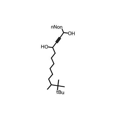 CCCCCCCCCC(O)C#CC(O)CCCCCCC(C)C(C)(C)C(C)(C)C